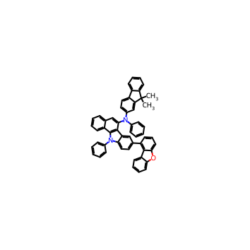 CC1(C)c2ccccc2-c2ccc(N(c3ccccc3)c3cc4ccccc4c4c3c3cc(-c5cccc6oc7ccccc7c56)ccc3n4-c3ccccc3)cc21